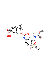 CC[C@@H](COC(=O)Nc1ccc(S(=O)(=O)C2CC2)c(CN(C)C(=O)OC(C)(C)C)c1)c1ccc(B(O)O)cc1